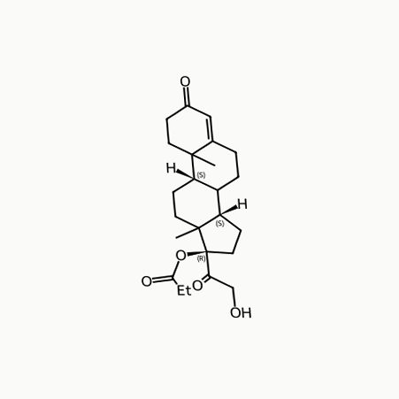 CCC(=O)O[C@]1(C(=O)CO)CC[C@H]2C3CCC4=CC(=O)CCC4(C)[C@H]3CCC21C